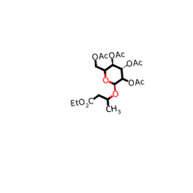 CCOC(=O)CC(C)O[C@H]1OC(COC(C)=O)[C@@H](OC(C)=O)[C@H](OC(C)=O)C1OC(C)=O